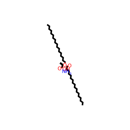 C=CC(=O)O.CCCCCCCCCCCCCCCCCCOC(=O)CCCCCCCCCCCCCCCCC.N